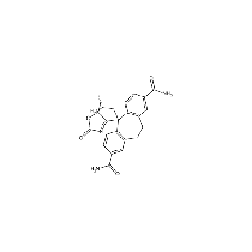 C[C@@H](N)CC1(c2nc(=O)on2C)c2ccc(C(N)=O)cc2CCc2cc(C(N)=O)ccc21